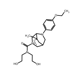 CCOc1ccc(N2CC3CN(C(=O)N(CCO)CCO)CC2C(C)(C)C3)cc1